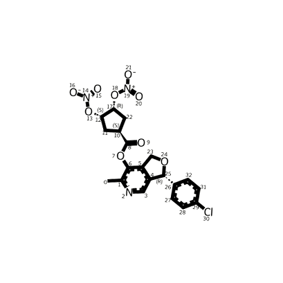 Cc1ncc2c(c1OC(=O)[C@H]1C[C@H](O[N+](=O)[O-])[C@H](O[N+](=O)[O-])C1)CO[C@@H]2c1ccc(Cl)cc1